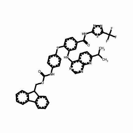 CC(C)c1ccc2c(Nc3cc(C(=O)Nc4nnc(C(F)(F)F)s4)ccc3Sc3ccc(NC(=O)OCC4c5ccccc5-c5ccccc54)cc3)ncnc2n1